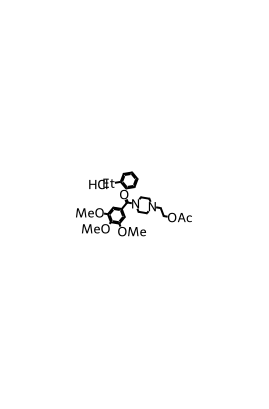 CCc1ccccc1.COc1cc(C(=O)N2CCN(CCOC(C)=O)CC2)cc(OC)c1OC.Cl